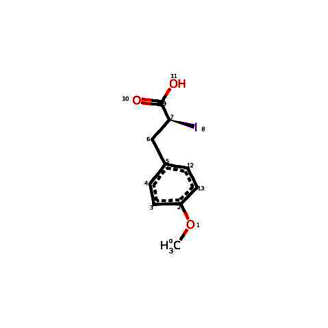 COc1ccc(C[C@H](I)C(=O)O)cc1